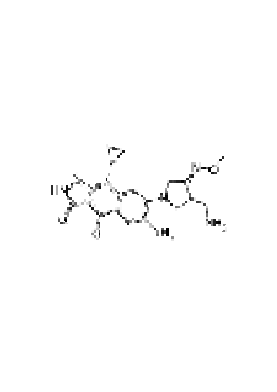 CON=C1CN(c2cc3c(cc2N)c(=O)c2c(=O)[nH]sc2n3C2CC2)CC1CN